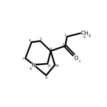 CCC(=O)C12CCCN(CC1)C2